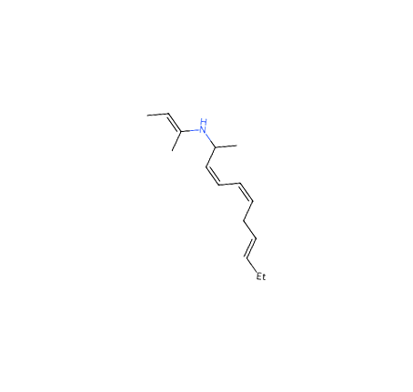 C/C=C(\C)NC(C)/C=C\C=C/C/C=C/CC